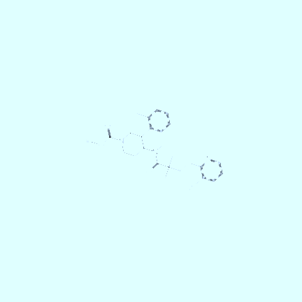 Cc1ccccc1C1CN(C(=O)OC(C)(C)C)CCC1N(C)C(=O)C(C)(C)COc1ncccc1C(F)(F)F